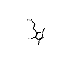 CCc1c(C)nn(C)c1CCO